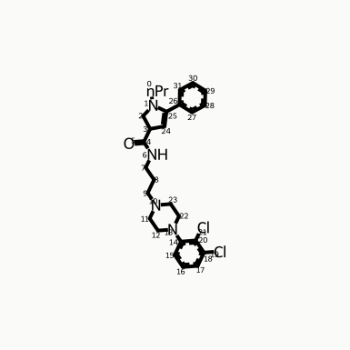 CCCN1CC(C(=O)NCCCN2CCN(c3cccc(Cl)c3Cl)CC2)C=C1c1ccccc1